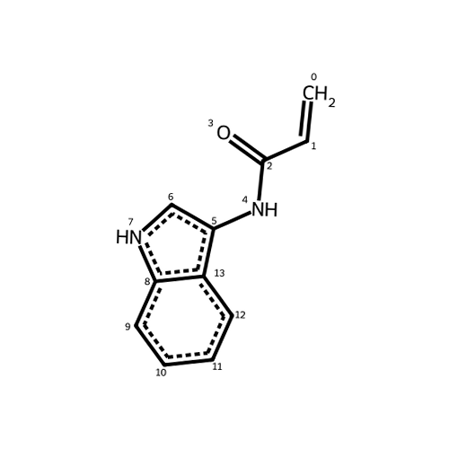 C=CC(=O)Nc1c[nH]c2ccccc12